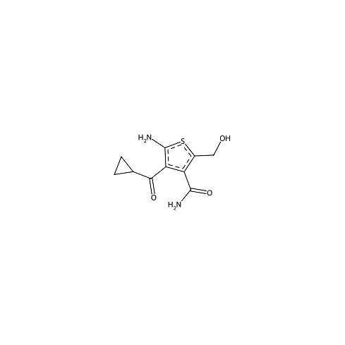 NC(=O)c1c(CO)sc(N)c1C(=O)C1CC1